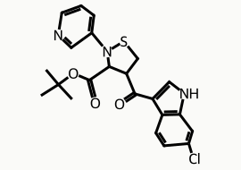 CC(C)(C)OC(=O)C1C(C(=O)c2c[nH]c3cc(Cl)ccc23)CSN1c1cccnc1